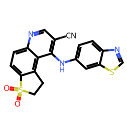 N#Cc1cnc2ccc3c(c2c1Nc1ccc2ncsc2c1)CCS3(=O)=O